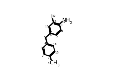 Cc1ccc(Cc2ccc(N)c(I)c2)cc1